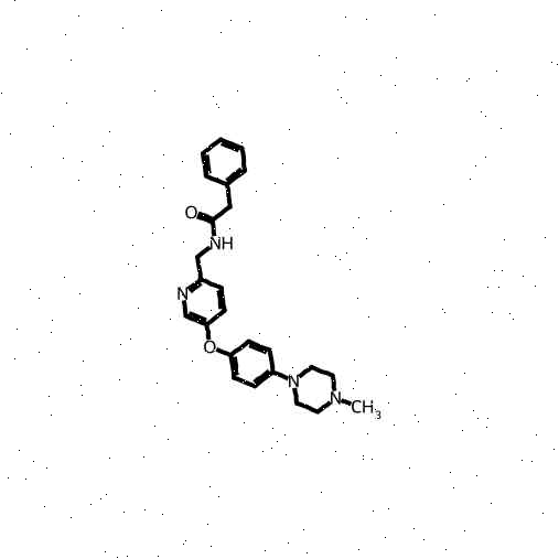 CN1CCN(c2ccc(Oc3ccc(CNC(=O)Cc4ccccc4)nc3)cc2)CC1